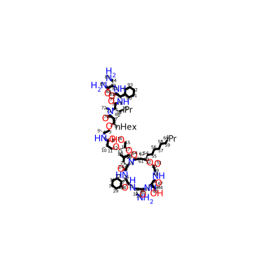 CCCCCC[C@@H](OC[C@@H](C)NC(=O)[C@@H](C)COC[C@H](CO)OCC(C)C[C@H]1C(=O)N[C@@H](C2CCCCC2)C(=O)N[C@@H](CN)C(=O)N[C@@H]([C@H](C)O)C(=O)NCC(=O)O[C@H](CCCCCCC(C)C)[C@@H](C)C(=O)N1C)[C@@H](C)C(=O)N(C)[C@@H](CC(C)C)C(=O)N[C@H](C(=O)N[C@@H](CN)C(N)=O)C1CCCCC1